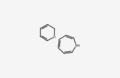 C1=CC=CNC=C1.C1=CCOC=C1